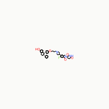 O=C1CCC(N2Cc3cc(C4CCN(CCCCOc5ccc([C@H]6c7ccc(O)cc7CC[C@H]6c6ccccc6)cc5)CC4)c(F)cc3C2=O)C(=O)N1